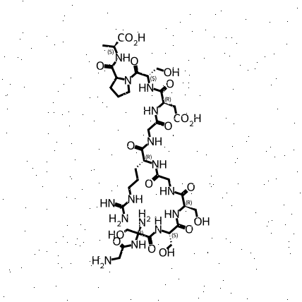 C[C@H](NC(=O)C1CCCN1C(=O)[C@H](CO)NC(=O)[C@@H](CC(=O)O)NC(=O)CNC(=O)[C@@H](CCCNC(=N)N)NC(=O)CNC(=O)[C@@H](CO)NC(=O)[C@H](CO)NC(=O)[C@@](N)(CO)NC(=O)CN)C(=O)O